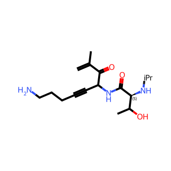 C=C(C)C(=O)C(C#CCCCN)NC(=O)[C@@H](NC(C)C)C(C)O